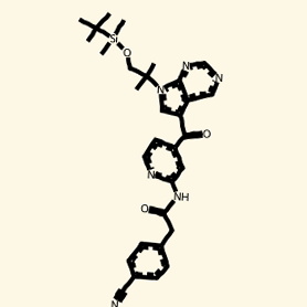 CC(C)(CO[Si](C)(C)C(C)(C)C)n1cc(C(=O)c2ccnc(NC(=O)Cc3ccc(C#N)cc3)c2)c2cncnc21